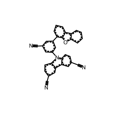 N#Cc1cc(-c2cccc3c2oc2ccccc23)cc(-n2c3ccc(C#N)cc3c3cc(C#N)ccc32)c1